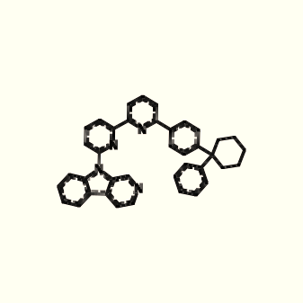 c1ccc(C2(c3ccc(-c4cccc(-c5cccc(-n6c7ccccc7c7ccncc76)n5)n4)cc3)CCCCC2)cc1